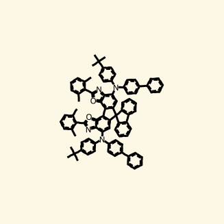 Cc1cccc(C)c1-c1nc2c(N(c3ccc(-c4ccccc4)cc3)c3ccc(C(C)(C)C)cc3)cc3c(c2o1)-c1c(cc(N(c2ccc(-c4ccccc4)cc2)c2ccc(C(C)(C)C)cc2)c2nc(-c4c(C)cccc4C)oc12)C31c2ccccc2-c2ccccc21